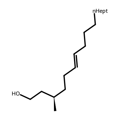 CCCCCCCCCCC=CCC[C@@H](C)CCO